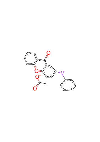 CC(=O)[O-].O=c1c2ccccc2oc2ccc([I+]c3ccccc3)cc12